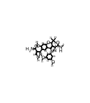 CNC(=O)c1nn(-c2cc(OC)cc(OC)c2)c2c1C(C(C)(C)C)Oc1cc(OC)c(-c3nn(C)cc3C(N)=O)cc1-2